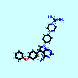 N=C(N)N1CCN([C@H]2CC[C@H](n3cc(-c4ccc(Oc5ccccc5)cc4)c4c(N)ncnc43)CC2)CC1